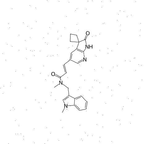 CN(Cc1cn(C)c2ccccc12)C(=O)/C=C/c1cnc2c(c1)C1(CCC1)C(=O)N2